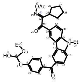 CCOC(O)Oc1ccc(C(=O)c2ccc3c(c2)c2cc(C(=O)/C(=N/OC(C)=O)C4CCCC4)ccc2n3CC)cc1